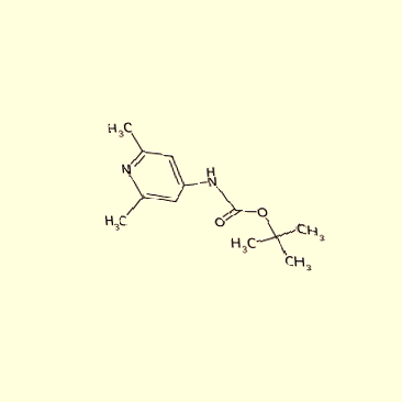 Cc1cc(NC(=O)OC(C)(C)C)cc(C)n1